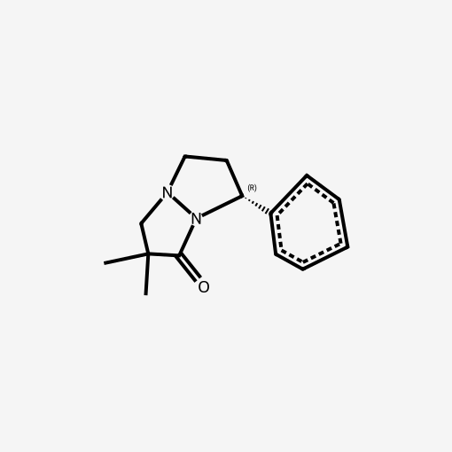 CC1(C)CN2CC[C@H](c3ccccc3)N2C1=O